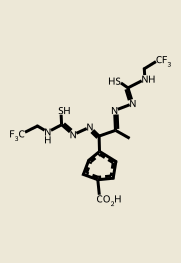 CC(=N\N=C(/S)NCC(F)(F)F)/C(=N/N=C(\S)NCC(F)(F)F)c1ccc(C(=O)O)cc1